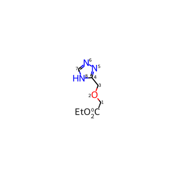 CCOC(=O)COCc1nn[c][nH]1